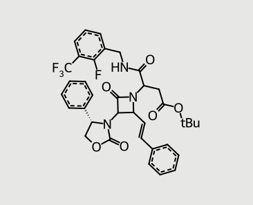 CC(C)(C)OC(=O)CC(C(=O)NCc1cccc(C(F)(F)F)c1F)N1C(=O)C(N2C(=O)OC[C@@H]2c2ccccc2)C1C=Cc1ccccc1